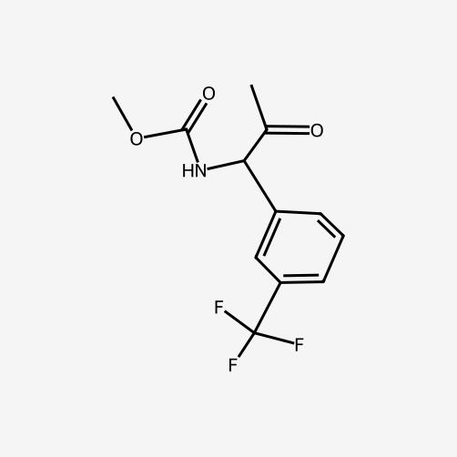 COC(=O)NC(C(C)=O)c1cccc(C(F)(F)F)c1